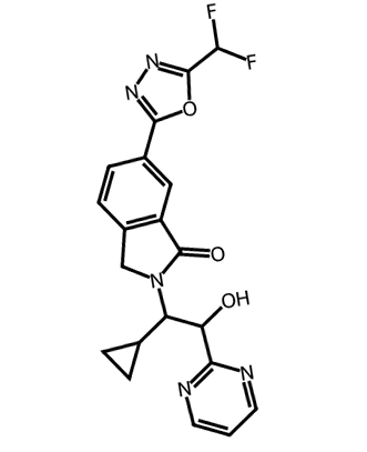 O=C1c2cc(-c3nnc(C(F)F)o3)ccc2CN1C(C1CC1)C(O)c1ncccn1